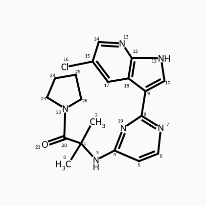 CC(C)(Nc1ccnc(-c2c[nH]c3ncc(Cl)cc23)n1)C(=O)N1CCCC1